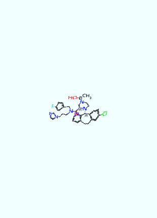 CB(O)N1CCN([C@@H]2c3ccc(Cl)cc3CCc3cccnc32)[C@@H](C(=O)N(CCCn2ccnc2)Cc2ccc(F)cc2)C1